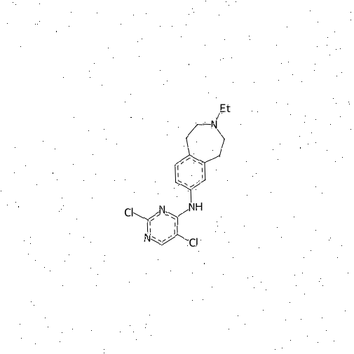 CCN1CCc2ccc(Nc3nc(Cl)ncc3Cl)cc2CC1